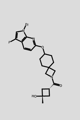 CCn1cc(F)c2ccc(OC3CCC4(CC3)CN(C(=O)[C@H]3C[C@@](C)(O)C3)C4)nc21